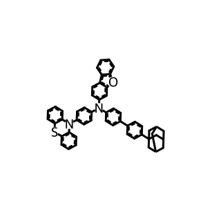 c1ccc2c(c1)Sc1ccccc1N2c1ccc(N(c2ccc(-c3ccc(C45CC6CC(CC(C6)C4)C5)cc3)cc2)c2ccc3c(c2)oc2ccccc23)cc1